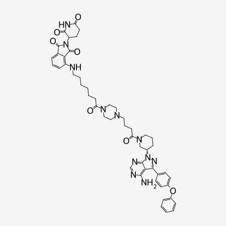 Nc1ncnc2c1c(-c1ccc(Oc3ccccc3)cc1)nn2[C@@H]1CCCN(C(=O)CCCN2CCN(C(=O)CCCCCCNc3cccc4c3C(=O)N(C3CCC(=O)NC3=O)C4=O)CC2)C1